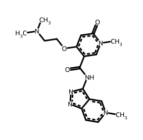 CN(C)CCOc1cc(=O)n(C)cc1C(=O)Nc1nnc2ccn(C)cc1-2